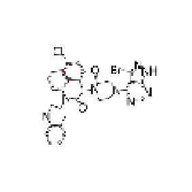 Cc1ccccc1N(C)CCN(C(=O)C(c1ccc(Cl)cc1)N1CCN(c2ncnc3[nH]nc(Br)c23)CC1=O)c1ccccc1